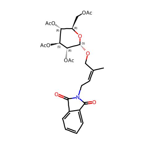 CC(=O)OC[C@H]1O[C@H](OCC(C)=CCN2C(=O)c3ccccc3C2=O)[C@H](OC(C)=O)[C@@H](OC(C)=O)[C@@H]1OC(C)=O